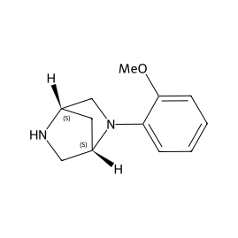 COc1ccccc1N1C[C@@H]2C[C@H]1CN2